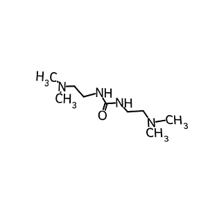 CN(C)CCNC(=O)NCCN(C)C